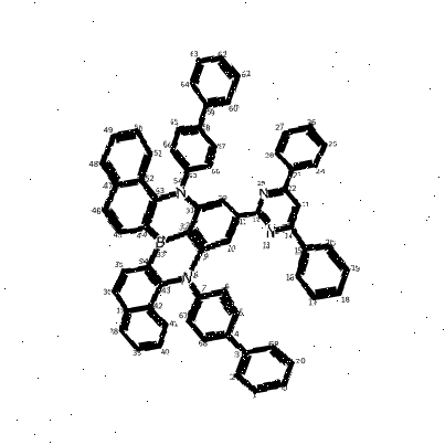 c1ccc(-c2ccc(N3c4cc(-c5nc(-c6ccccc6)cc(-c6ccccc6)n5)cc5c4B(c4ccc6ccccc6c43)c3ccc4ccccc4c3N5c3ccc(-c4ccccc4)cc3)cc2)cc1